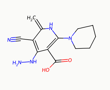 C=C1NC(N2CCCCC2)=C(C(=O)O)C(NN)=C1C#N